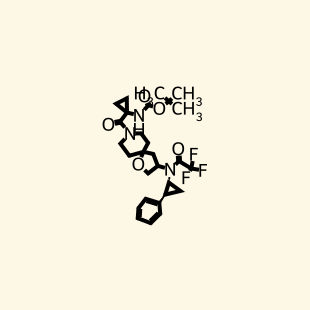 CC(C)(C)OC(=O)NC1(C(=O)N2CCC3(CC2)CC(N(C(=O)C(F)(F)F)[C@@H]2C[C@H]2c2ccccc2)CO3)CC1